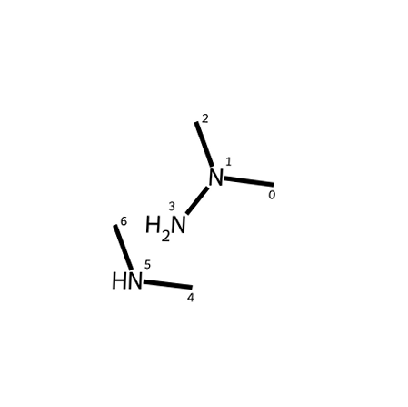 CN(C)N.CNC